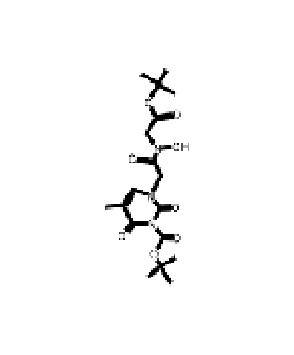 Cc1cn(CC(=O)N(O)CC(=O)OC(C)(C)C)c(=O)n(C(=O)OC(C)(C)C)c1=O